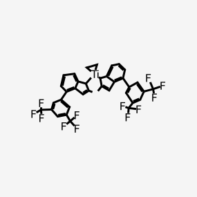 CC1=Cc2c(-c3cc(C(F)(F)F)cc(C(F)(F)F)c3)cccc2[CH]1[Ti]1([CH]2C(C)=Cc3c(-c4cc(C(F)(F)F)cc(C(F)(F)F)c4)cccc32)[CH2][CH2]1